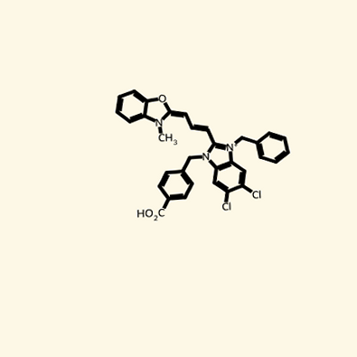 CN1C(=CC=Cc2n(Cc3ccc(C(=O)O)cc3)c3cc(Cl)c(Cl)cc3[n+]2Cc2ccccc2)Oc2ccccc21